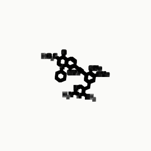 CCOC(=O)c1cn(C2CCCCC2)c2c(OC)c(C#Cc3cc(Cc4cnc(N)nc4N)cc(OC)c3OC)ccc2c1=O